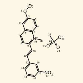 CCOc1ccc2c(ccc(C=Cc3cccc([N+](=O)[O-])c3)[n+]2C)c1.CS(=O)(=O)[O-]